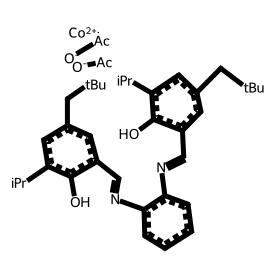 CC(=O)[O-].CC(=O)[O-].CC(C)c1cc(CC(C)(C)C)cc(C=Nc2ccccc2N=Cc2cc(CC(C)(C)C)cc(C(C)C)c2O)c1O.[Co+2]